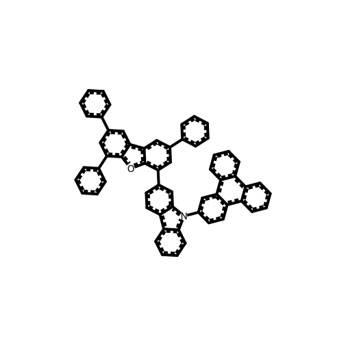 c1ccc(-c2cc(-c3ccccc3)c3oc4c(-c5ccc6c7ccccc7n(-c7ccc8c9ccccc9c9ccccc9c8c7)c6c5)cc(-c5ccccc5)cc4c3c2)cc1